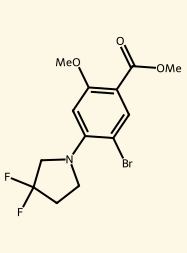 COC(=O)c1cc(Br)c(N2CCC(F)(F)C2)cc1OC